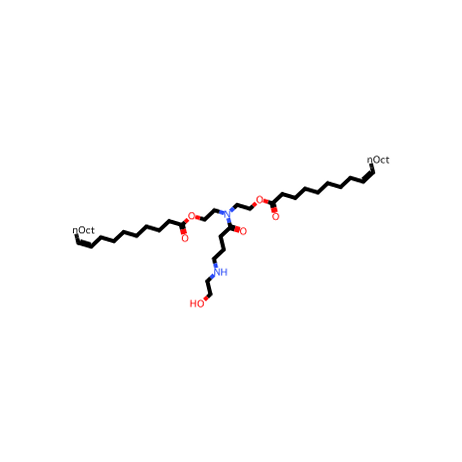 CCCCCCCC/C=C\CCCCCCCC(=O)OCCN(CCOC(=O)CCCCCCC/C=C\CCCCCCCC)C(=O)CCCNCCO